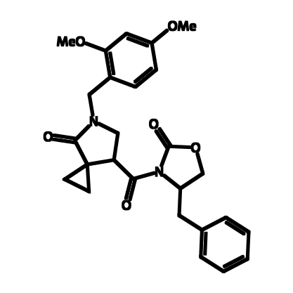 COc1ccc(CN2CC(C(=O)N3C(=O)OCC3Cc3ccccc3)C3(CC3)C2=O)c(OC)c1